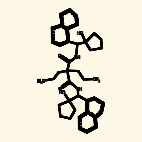 CCCC(CCC)(C(=O)NC(c1cccc2ccccc12)C1(O)CCCC1)C(=O)NC(c1cccc2ccccc12)C1(O)CCCC1